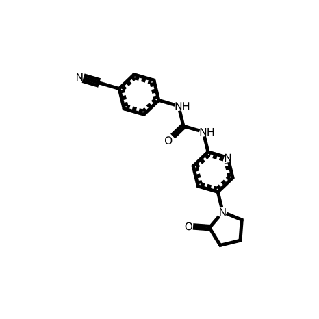 N#Cc1ccc(NC(=O)Nc2ccc(N3CCCC3=O)cn2)cc1